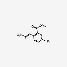 CCCc1ccc(/C=C(\C)[N+](=O)[O-])c(C(=O)OC)c1